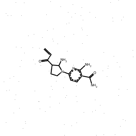 C=CC(=O)C1CCN(c2ccc(C(N)=O)c(N)n2)C1N